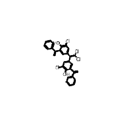 C=C(c1ccccc1)c1cc(C(=C(Cl)Cl)c2cc(Cl)c(O)c(C(=C)c3ccccc3)c2)cc(Cl)c1O